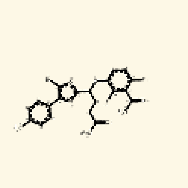 CNC(=O)CCC(Oc1ccc(F)c(C(N)=O)c1F)c1nc(-c2ccc(C(F)(F)F)cc2)c(Br)o1